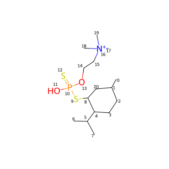 CC1CCC(C(C)C)C(SP(O)(=S)OCC[N+](C)(C)C)C1